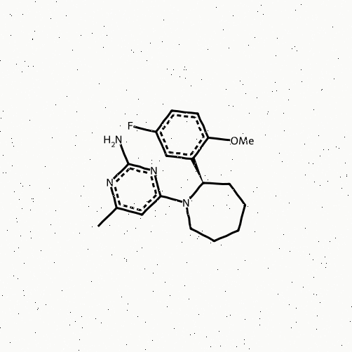 COc1ccc(F)cc1[C@H]1CCCCCN1c1cc(C)nc(N)n1